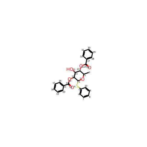 CC1O[C@@H](Sc2ccccc2)C(OC(=O)c2ccccc2)C(O)[C@H]1OC(=O)c1ccccc1